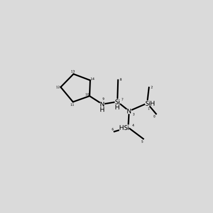 C[SiH](C)N([SiH](C)C)[SiH](C)NC1CCCC1